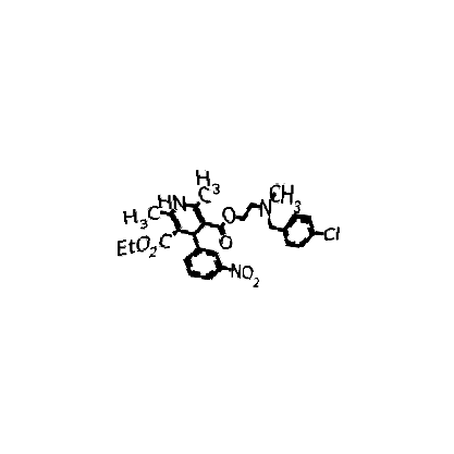 CCOC(=O)C1=C(C)NC(C)=C(C(=O)OCCN(C)Cc2ccc(Cl)cc2)C1c1cccc([N+](=O)[O-])c1